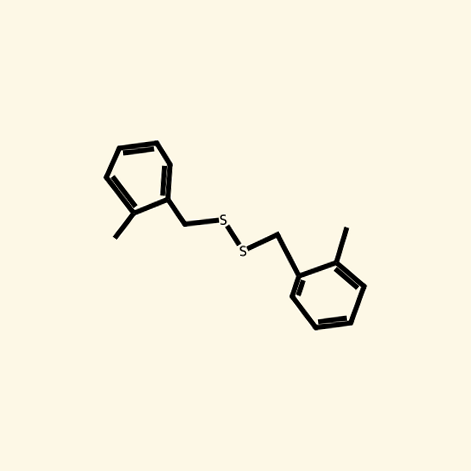 Cc1ccccc1CSSCc1ccccc1C